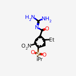 CCc1cc(S(=O)(=O)C(C)C)c([N+](=O)[O-])cc1C(=O)N=C(N)N